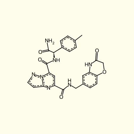 Cc1ccc([C@@H](NC(=O)c2cc(C(=O)NCc3ccc4c(c3)NC(=O)CO4)nc3ccnn23)C(N)=O)cc1